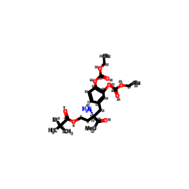 CCC(C)(C)C(=O)OCC[C@@](N)(Cc1ccc(OC(=O)OCC(C)(C)C)c(OC(=O)OCC(C)(C)C)c1)C(=O)OC